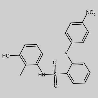 Cc1c(O)cccc1NS(=O)(=O)c1ccccc1Sc1ccc([N+](=O)[O-])cc1